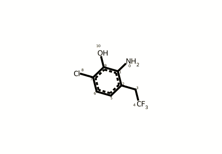 Nc1c(CC(F)(F)F)ccc(Cl)c1O